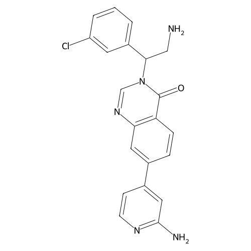 NCC(c1cccc(Cl)c1)n1cnc2cc(-c3ccnc(N)c3)ccc2c1=O